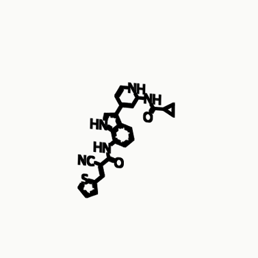 N#C/C(=C\c1cccs1)C(=O)Nc1cccc2c(C3=CC(NC(=O)C4CC4)NC=C3)c[nH]c12